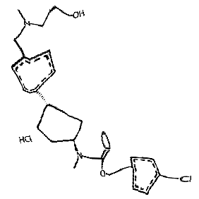 CN(CCO)Cc1ccc([C@H]2CC[C@H](N(C)C(=O)Oc3ccc(Cl)cc3)CC2)cc1.Cl